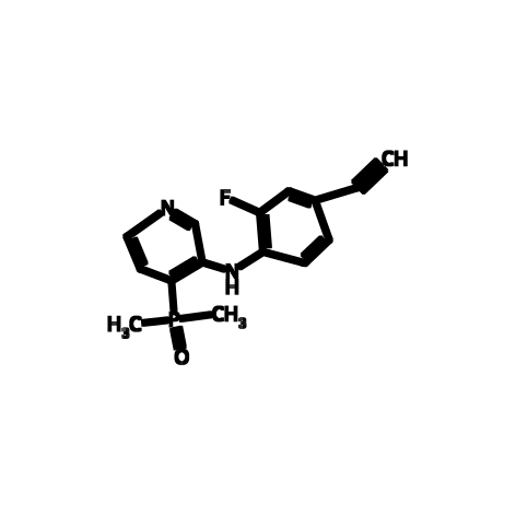 C#Cc1ccc(Nc2cnccc2P(C)(C)=O)c(F)c1